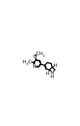 COc1cc(C2=C[C@H]3NC[C@H]3CC2)cnc1C